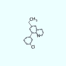 CCc1cc(-c2cccc(Cl)c2)c2ncccc2c1